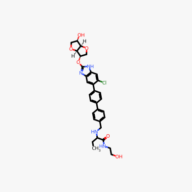 CCC(NCc1ccc(-c2ccc(-c3cc4nc(O[C@@H]5CO[C@H]6[C@@H]5OC[C@H]6O)[nH]c4cc3Cl)cc2)cc1)C(=O)NCCO